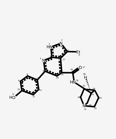 CCc1n[nH]c2nc(-c3ccc(O)cc3)cc(C(=O)N[C@@H]3CN4CCC3CC4)c12